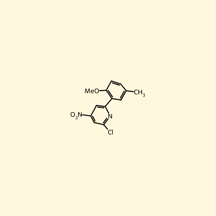 COc1ccc(C)cc1-c1cc([N+](=O)[O-])cc(Cl)n1